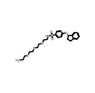 NCCOCCOCCOCCNS(=O)(=O)c1ccc(O[C@@H]2CCc3ccccc32)cc1